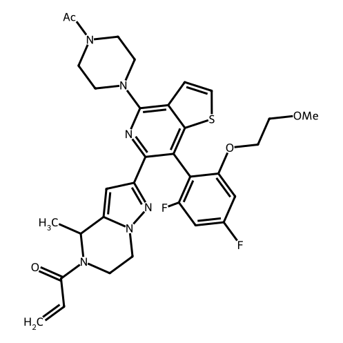 C=CC(=O)N1CCn2nc(-c3nc(N4CCN(C(C)=O)CC4)c4ccsc4c3-c3c(F)cc(F)cc3OCCOC)cc2C1C